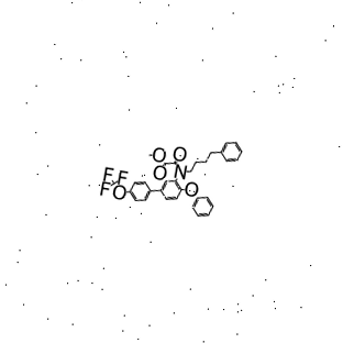 COC(=O)C(=O)N(CCCCc1ccccc1)c1cc(-c2ccc(OC(F)(F)F)cc2)ccc1Oc1ccccc1